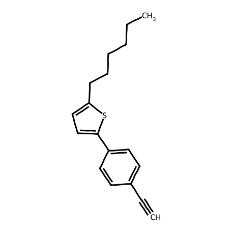 C#Cc1ccc(-c2ccc(CCCCCC)s2)cc1